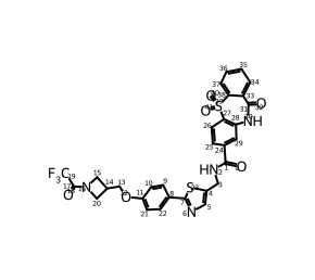 O=C(NCc1cnc(-c2ccc(OCC3CN(C(=O)C(F)(F)F)C3)cc2)s1)c1ccc2c(c1)NC(=O)c1ccccc1S2(=O)=O